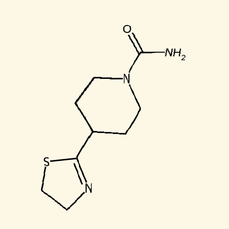 NC(=O)N1CCC(C2=NCCS2)CC1